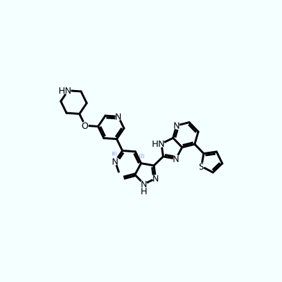 C=c1[nH]nc(-c2nc3c(-c4cccs4)ccnc3[nH]2)/c1=C/C(=N\C)c1cncc(OC2CCNCC2)c1